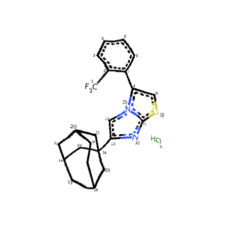 Cl.FC(F)(F)c1ccccc1-c1csc2nc(C34CC5CC(CC(C5)C3)C4)cn12